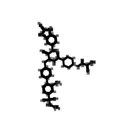 CNS(=O)(=O)c1ccc(-c2ccc(C[C@H](NC(=O)[C@H]3CC[C@H](CNC(=O)O)CC3)C(=O)Nc3ccc4[nH]c(=O)[nH]c4c3)cc2)c(C)c1